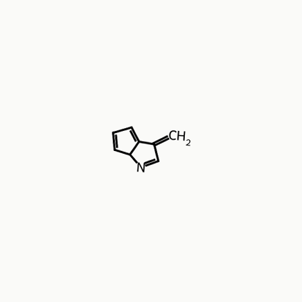 C=C1C=NC2C=CC=C12